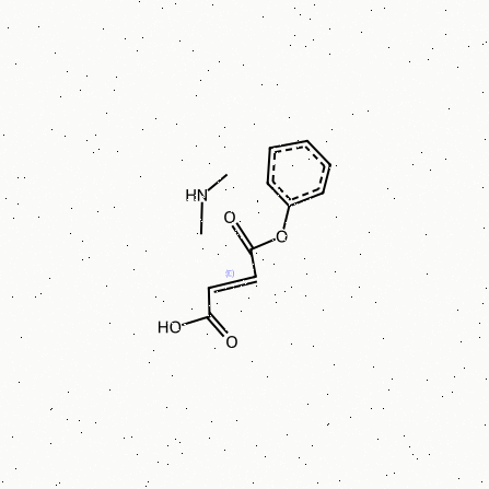 CNC.O=C(O)/C=C/C(=O)Oc1ccccc1